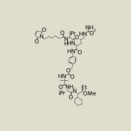 CC[C@@H](OC)[C@H](C1CCCCC1)N(C)C(=O)[C@@H](NC(=O)C(C)(C)NC(=O)OCc1ccc(NC(=O)C(CCCNC(N)=O)NC(=O)[C@@H](NC(=O)CCCCCN2C(=O)C=CC2=O)C(C)C)cc1)C(C)C